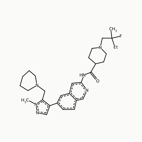 CCC(C)(F)CN1CCC(C(=O)Nc2cc3cc(-c4cnn(C)c4CN4CCCCC4)ccc3cn2)CC1